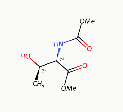 COC(=O)N[C@H](C(=O)OC)[C@@H](C)O